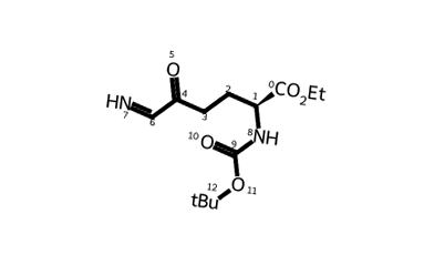 CCOC(=O)[C@H](CCC(=O)C=N)NC(=O)OC(C)(C)C